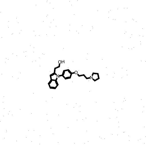 OCCc1cc2ccccc2n1-c1ccc(OCCCN2CCCC2)cc1